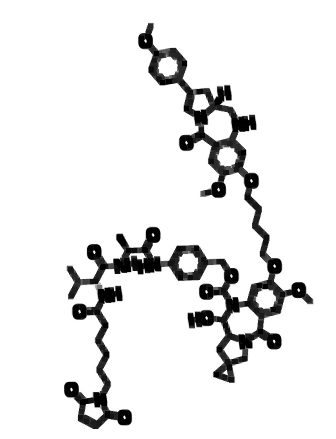 COc1ccc(C2=CN3C(=O)c4cc(OC)c(OCCCCCOc5cc6c(cc5OC)C(=O)N5CC7(CC7)CC5C(O)N6C(=O)OCc5ccc(NC(=O)[C@H](C)NC(=O)[C@H](NC(=O)CCCCCN6C(=O)C=CC6=O)C(C)C)cc5)cc4NC[C@H]3C2)cc1